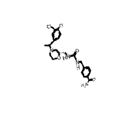 CC(c1ccc(Cl)c(Cl)c1)N1CCO[C@@H](CNC(=O)NCc2ccc(C(N)=O)cc2)C1